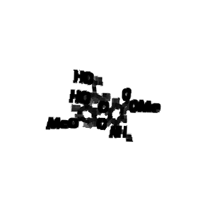 COC(=O)c1cc(N)c(Oc2cccc(OC)c2)c(OCC(O)CO)c1